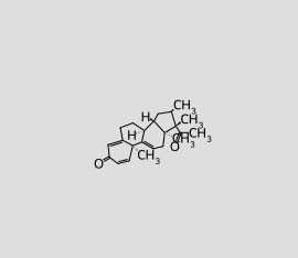 CC(=O)[C@@]1(C)[C@H](C)C[C@H]2[C@@H]3CCC4=CC(=O)C=C[C@]4(C)C3=CC[C@@]21C